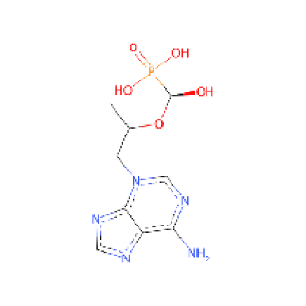 CC(Cn1cnc(N)c2ncnc1-2)O[C@H](O)P(=O)(O)O